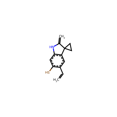 C=Cc1cc2c(cc1S)NC(=C)C21CC1